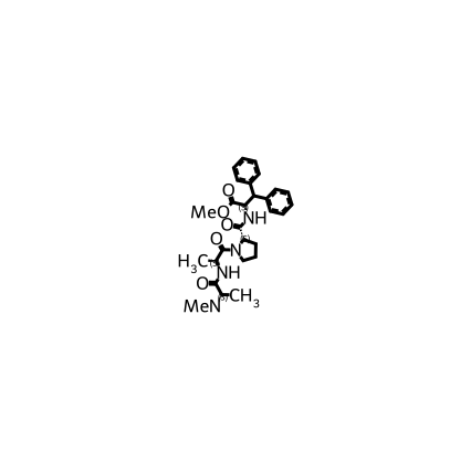 CN[C@@H](C)C(=O)N[C@@H](C)C(=O)N1CCC[C@H]1C(=O)N[C@H](C(=O)OC)C(c1ccccc1)c1ccccc1